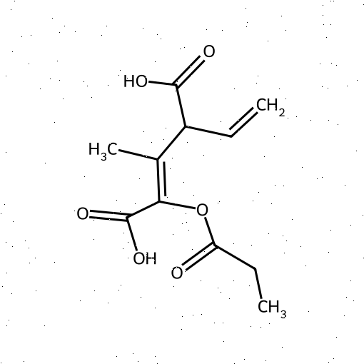 C=CC(C(=O)O)C(C)=C(OC(=O)CC)C(=O)O